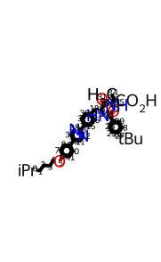 CC(C)CCCCOc1ccc(-c2cnc(-c3ccc(C[C@H](NC(=O)c4ccc(C(C)(C)C)cc4)C(=O)NC(C)C(=O)O)cc3)nc2)cc1